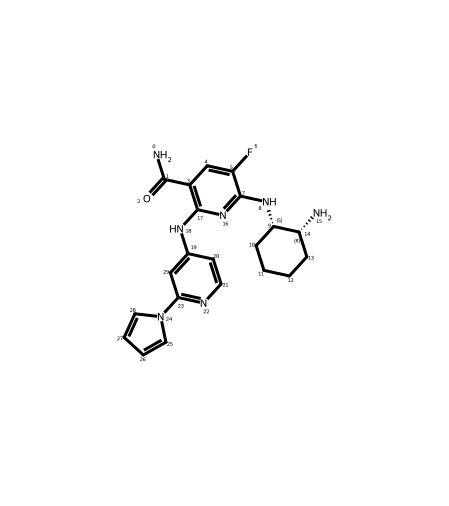 NC(=O)c1cc(F)c(N[C@H]2CCCC[C@H]2N)nc1Nc1ccnc(-n2cccc2)c1